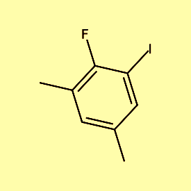 Cc1cc(C)c(F)c(I)c1